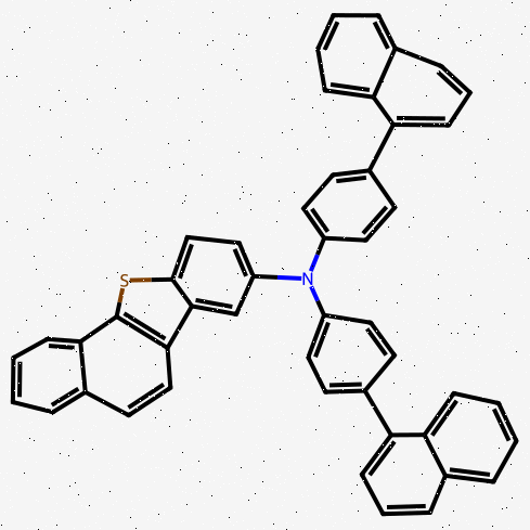 c1ccc2c(-c3ccc(N(c4ccc(-c5cccc6ccccc56)cc4)c4ccc5sc6c7ccccc7ccc6c5c4)cc3)cccc2c1